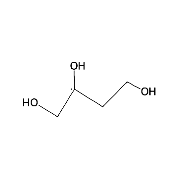 OCC[C](O)CO